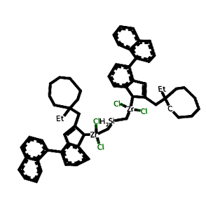 CCC1(CC2=Cc3c(-c4cccc5ccccc45)cccc3[CH]2[Zr]([Cl])([Cl])[CH2][SiH2][CH2][Zr]([Cl])([Cl])[CH]2C(CC3(CC)CCCCCCC3)=Cc3c(-c4cccc5ccccc45)cccc32)CCCCCCC1